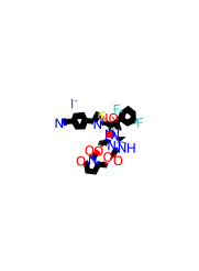 CNCC(=O)OCC1CCC(=O)N1C(=O)OCC1=NN(C[C@](O)(c2cc(F)ccc2F)[C@@H](C)c2nc(-c3ccc(C#N)cc3)cs2)C=[N+]1.[I-]